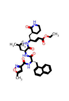 CCOC(=O)/C=C/[C@H](C[C@@H]1CCCNC1=O)NC(=O)[C@H](CC(C)C)NC(=O)[C@H](Cc1cccc2ccccc12)NC(=O)c1cc(C)on1